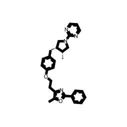 Cc1oc(-c2ccccc2)nc1CCOc1ccc(C[C@@H]2CN(c3ncccn3)C[C@@H]2C)cc1